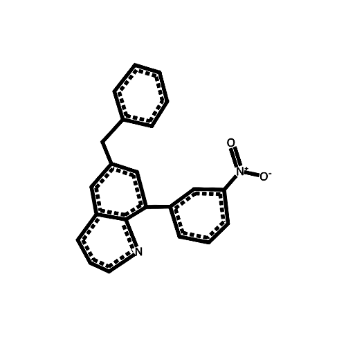 O=[N+]([O-])c1cccc(-c2cc(Cc3ccccc3)cc3cccnc23)c1